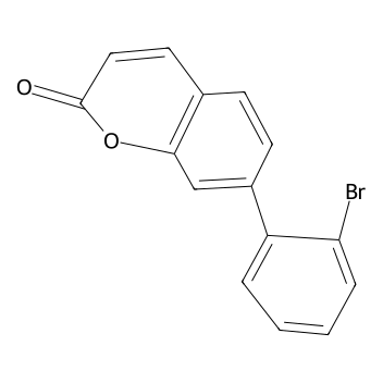 O=c1ccc2ccc(-c3ccccc3Br)cc2o1